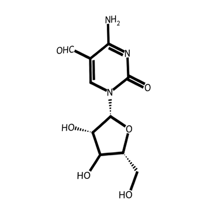 Nc1nc(=O)n([C@@H]2O[C@H](CO)C(O)[C@@H]2O)cc1C=O